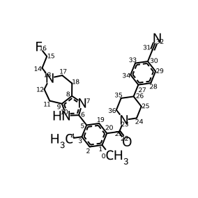 Cc1cc(C)c(-c2nc3c([nH]2)CCN(CCF)CC3)cc1C(=O)N1CCC(c2ccc(C#N)cc2)CC1